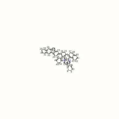 N/C(=N\C(=N/CC1=CCCC=C1)c1c(-c2ccc(-c3ccc4c(c3)oc3cc5ccccc5cc34)cc2)ccc2ccccc12)c1ccccc1